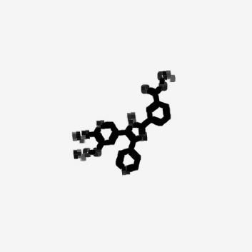 COC(=O)c1cccc(-c2nc(-c3ccncc3)c(-c3cnc(N)c(OC)c3)[nH]2)c1